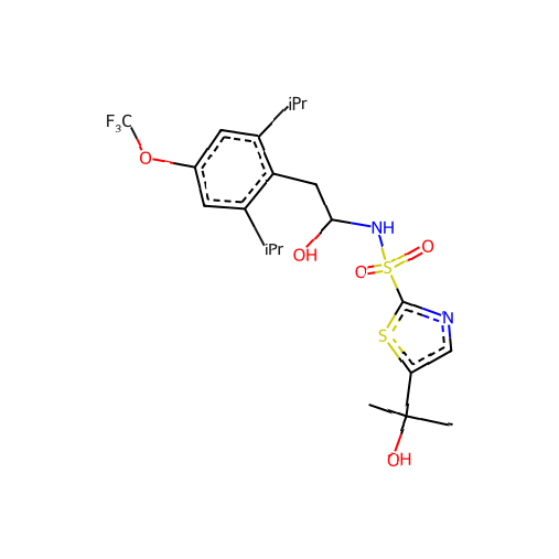 CC(C)c1cc(OC(F)(F)F)cc(C(C)C)c1CC(O)NS(=O)(=O)c1ncc(C(C)(C)O)s1